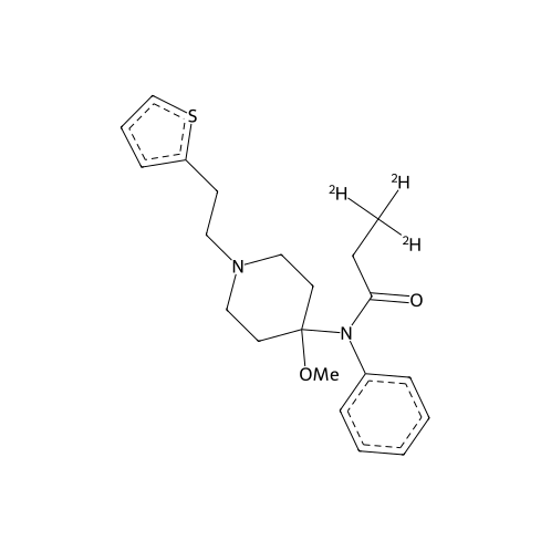 [2H]C([2H])([2H])CC(=O)N(c1ccccc1)C1(OC)CCN(CCc2cccs2)CC1